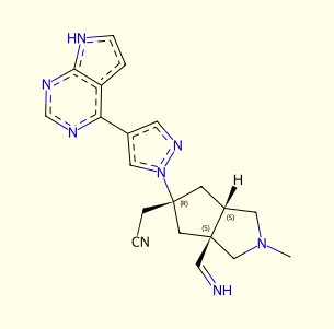 CN1C[C@H]2C[C@@](CC#N)(n3cc(-c4ncnc5[nH]ccc45)cn3)C[C@@]2(C=N)C1